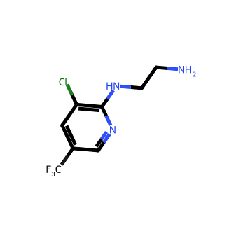 NCCNc1ncc(C(F)(F)F)cc1Cl